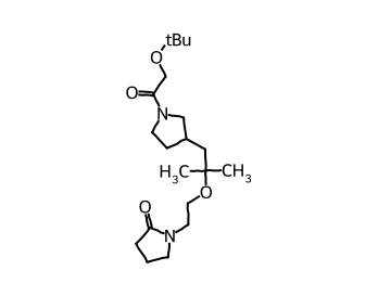 CC(C)(C)OCC(=O)N1CCC(CC(C)(C)OCCN2CCCC2=O)C1